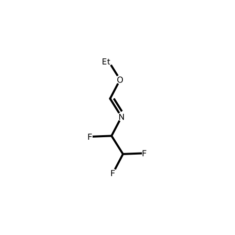 CCOC=NC(F)C(F)F